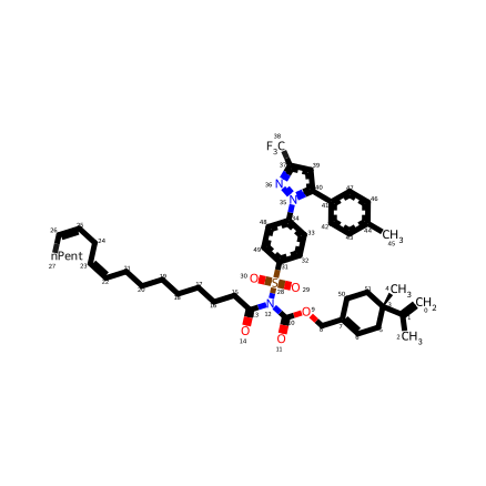 C=C(C)[C@]1(C)CC=C(COC(=O)N(C(=O)CCCCCCC/C=C\C/C=C\CCCCC)S(=O)(=O)c2ccc(-n3nc(C(F)(F)F)cc3-c3ccc(C)cc3)cc2)CC1